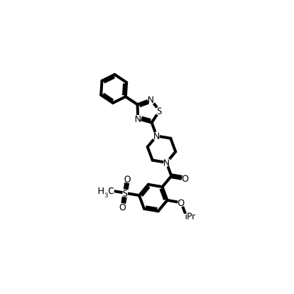 CC(C)Oc1ccc(S(C)(=O)=O)cc1C(=O)N1CCN(c2nc(-c3ccccc3)ns2)CC1